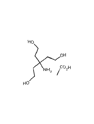 CC(=O)O.NC(CCO)(CCO)CCO